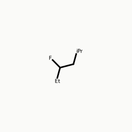 [CH2]CC(F)CC(C)C